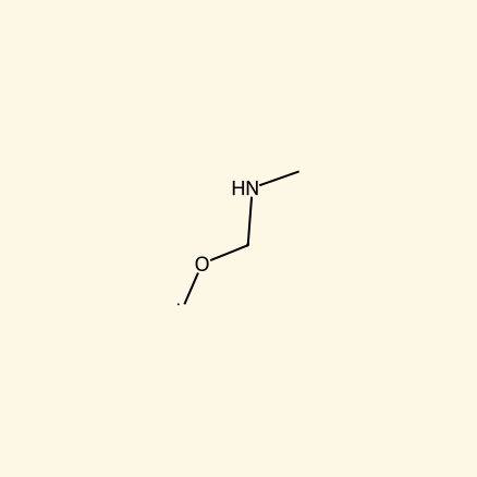 [CH2]OCNC